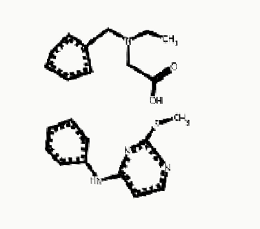 CCN(CC(=O)O)Cc1ccccc1.CSc1nccc(Nc2ccccc2)n1